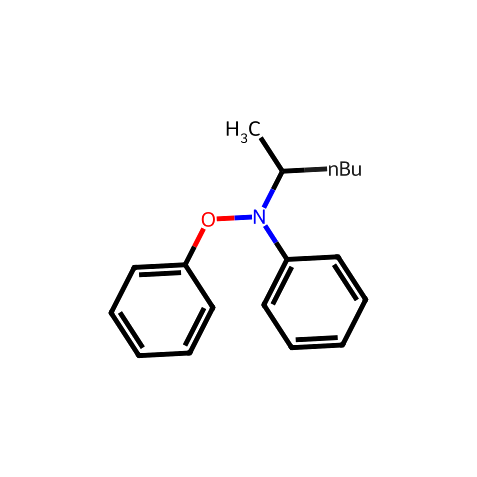 CCCCC(C)N(Oc1ccccc1)c1ccccc1